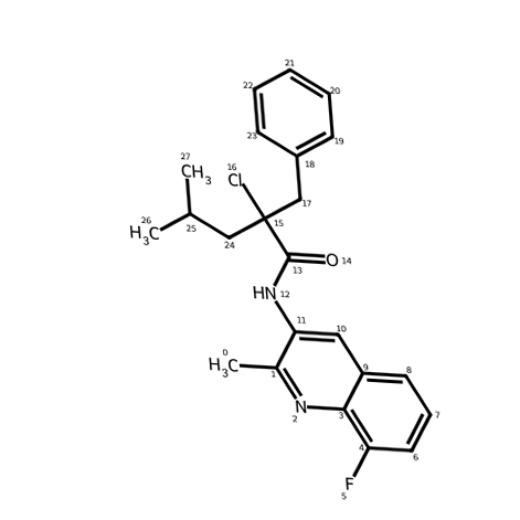 Cc1nc2c(F)cccc2cc1NC(=O)C(Cl)(Cc1ccccc1)CC(C)C